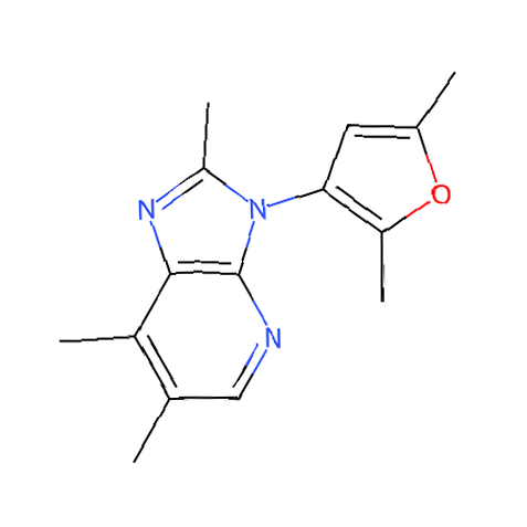 Cc1cc(-n2c(C)nc3c(C)c(C)cnc32)c(C)o1